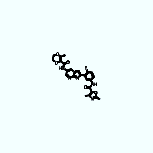 CC1=C(C(=O)Nc2cnc3nc(-c4cc(NC(=O)c5oc(C)nc5C)ccc4F)cn3c2)OCCO1